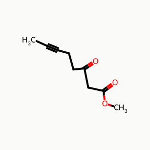 CC#CCCC(=O)CC(=O)OC